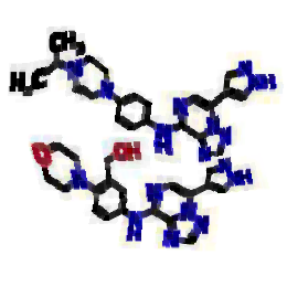 CC(C)N1CCN(c2ccc(Nc3ncc(-c4cn[nH]c4)n4ncnc34)cc2)CC1.OCc1cc(Nc2ncc(-c3cn[nH]c3)n3ncnc23)ccc1N1CCOCC1